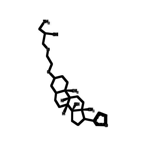 C[C@]12CCC(OCCOCC(O)CN)CC1CC[C@@H]1[C@H]2CC[C@]2(C)C(c3ccoc3)CC[C@@]12O